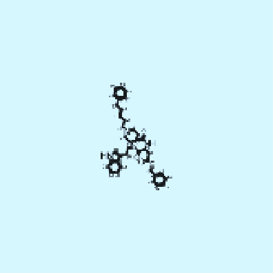 O=C(CC1NC(=O)C2(CCN(CCCCCc3ccccc3)CC2)N(CCc2c[nH]c3ccccc23)C1=O)OCc1ccccc1